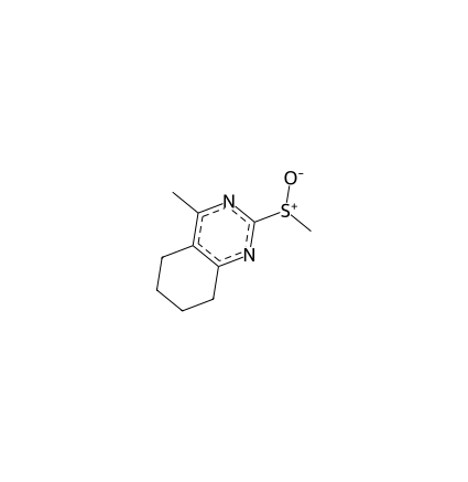 Cc1nc([S+](C)[O-])nc2c1CCCC2